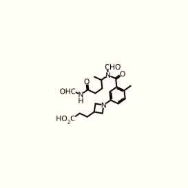 Cc1ccc(N2CC(CCC(=O)O)C2)cc1C(=O)N(C=O)C(C)CCC(=O)NC=O